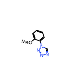 COc1ccccc1-n1cnnn1